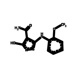 NC(=O)c1c(O)nsc1Nc1ccccc1OC(F)(F)F